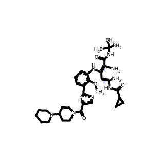 BC(B)(B)NC(=O)/C(N)=C(/C=C(\N)NC(=O)C1CC1)Nc1cccc(-c2ncc(C(=O)N3CCC(N4CCCCC4)CC3)s2)c1OC